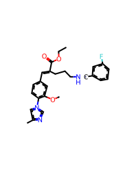 CCOC(=O)/C(=C/c1ccc(-n2cnc(C)c2)c(OC)c1)CCCNCc1cccc(F)c1